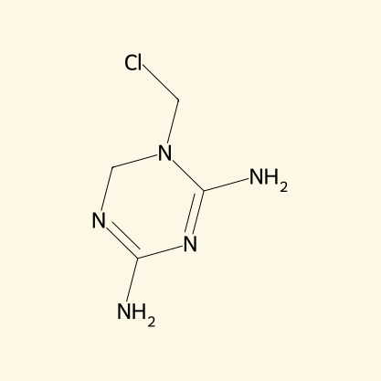 NC1=NCN(CCl)C(N)=N1